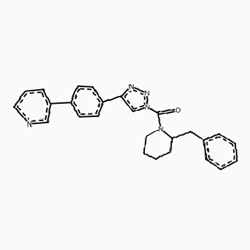 O=C(N1CCCCC1Cc1ccccc1)n1cc(-c2ccc(-c3cccnc3)cc2)nn1